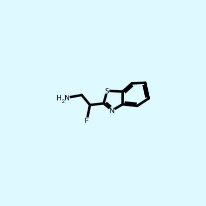 NCC(F)c1nc2ccccc2s1